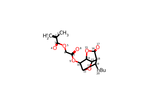 C=C(C)C(=O)OCC(=O)OC1C2OC3C1OC(=O)C3C2CCCC